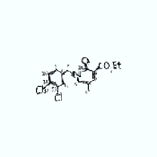 CCOC(=O)c1cc(C)cn(Cc2ccc(Cl)c(Cl)c2)c1=O